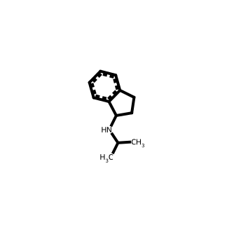 CC(C)NC1CCc2ccccc21